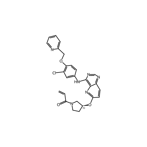 C=CC(=O)N1CC[C@H](Oc2ccc3ncnc(Nc4ccc(OCc5ccccn5)c(Cl)c4)c3n2)C1